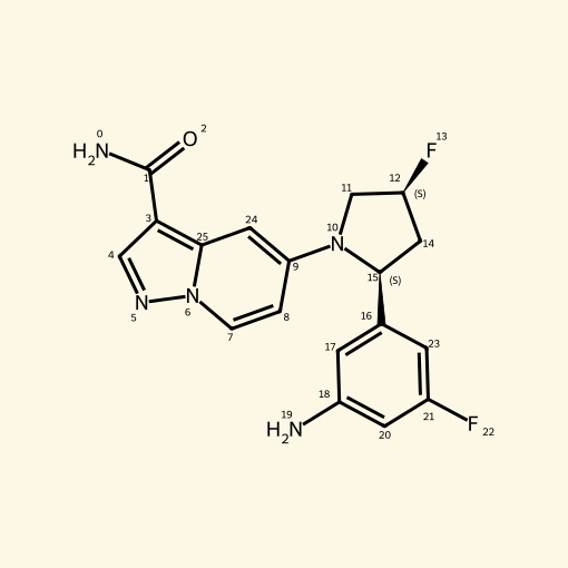 NC(=O)c1cnn2ccc(N3C[C@@H](F)C[C@H]3c3cc(N)cc(F)c3)cc12